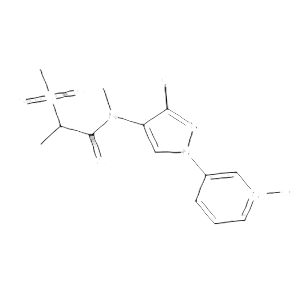 CC(C(=O)N(C)c1cn(-c2ccc[n+]([O-])c2)nc1Cl)S(C)(=O)=O